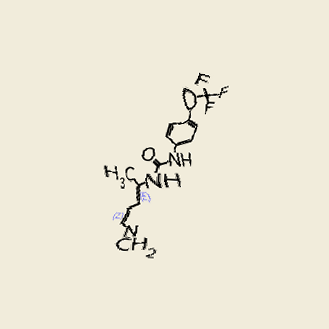 C=N/C=C\C=C(/C)NC(=O)Nc1ccc(OC(F)(F)F)cc1